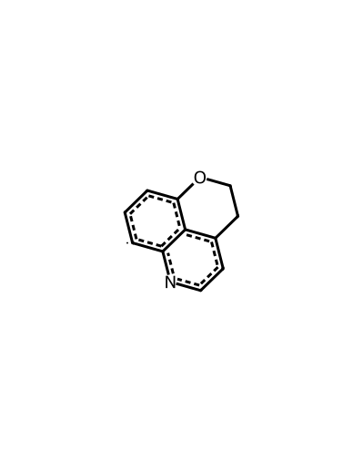 [c]1ccc2c3c(ccnc13)CCO2